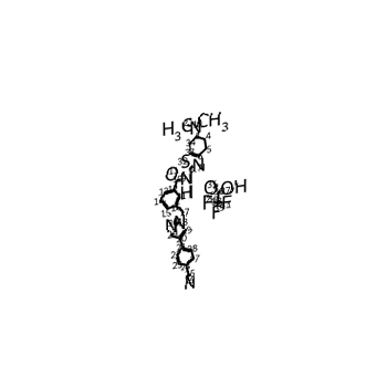 CN(C)C1CCc2nc(NC(=O)c3cccc(Cn4cc(-c5ccc(C#N)cc5)cn4)c3)sc2C1.O=C(O)C(F)(F)F